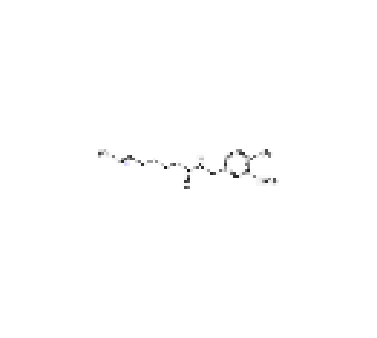 COc1cc(CNC(=O)CCCC/C=C/C(C)C)ccc1C(C)C